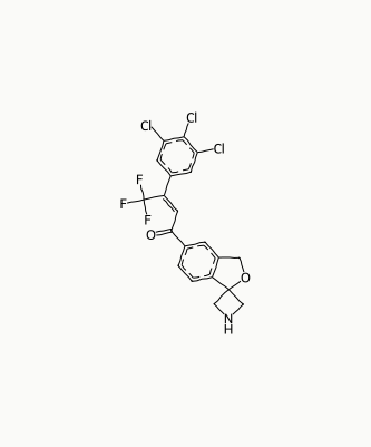 O=C(/C=C(/c1cc(Cl)c(Cl)c(Cl)c1)C(F)(F)F)c1ccc2c(c1)COC21CNC1